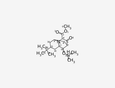 COC(=O)C1C(=O)C2CC3CC(C(C)(C)C)CC(C2O[SiH](C)C)N31